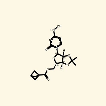 CC1(C)O[C@@H]2[C@H](O1)[C@@H](COC(=O)C13CC(C1)C3)O[C@H]2n1ccc(NO)nc1=O